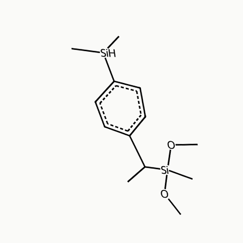 CO[Si](C)(OC)C(C)c1ccc([SiH](C)C)cc1